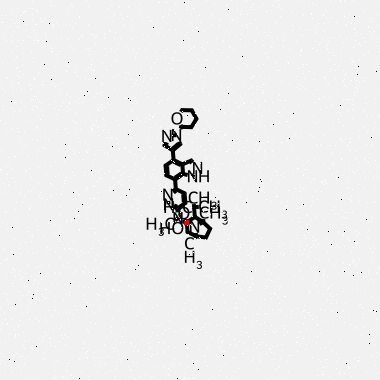 CN(c1ccc(-c2ccc(-c3cnn(C4CCCCO4)c3)c3cn[nH]c23)nn1)C1CC2(C)CCC(C)(C1C(C)(C)C)N2C(=O)O